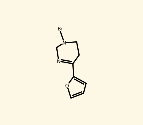 BrN1CCC(c2ccco2)=NC1